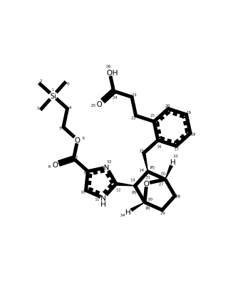 C[Si](C)(C)CCOC(=O)c1c[nH]c([C@H]2[C@@H](Cc3ccccc3CCC(=O)O)[C@@H]3CC[C@H]2O3)n1